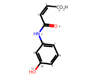 O=C(O)/C=C\C(=O)Nc1cccc(O)c1